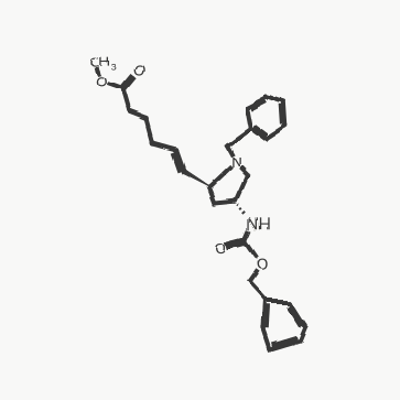 COC(=O)CCCC=C[C@@H]1C[C@@H](NC(=O)OCc2ccccc2)CN1Cc1ccccc1